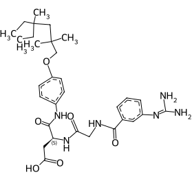 CCC(C)(CC)CC(C)(C)COc1ccc(NC(=O)[C@H](CC(=O)O)NC(=O)CNC(=O)c2cccc(N=C(N)N)c2)cc1